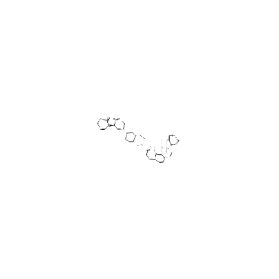 C[C@H]1c2ccc(-c3ccc4oc5ccccc5c4c3)cc2C=CC1c1ccc2ccc3c(c2n1)NC(c1ccccc1)C=C3